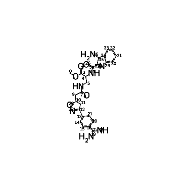 COC(=O)C(CNC(=O)CC1CC(c2ccc(C(=N)N)cc2)=NO1)NC(=O)C1=Nc2ccccc2C1N